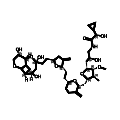 C=C1C[C@H](CC[C@@]2(O)C[C@@H](O)[C@@H]3CC4C3OC[C@H](O)[C@@H]4O2)O[C@H]1CC[C@H]1CCC(=C)[C@@H](C[C@@H]2O[C@H](C[C@H](O)CNC(=O)[C@H](O)C3CC3)[C@H](OC)[C@H]2C)O1